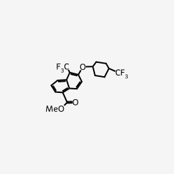 COC(=O)c1cccc2c(C(F)(F)F)c(OC3CCC(C(F)(F)F)CC3)ccc12